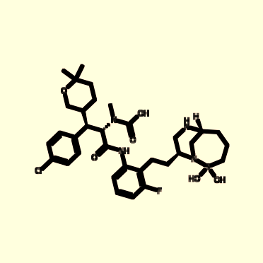 CN(C(=O)O)[C@H](C(=O)Nc1cccc(F)c1CC[C@H]1CN[C@@H]2CCCS(O)(O)N1C2)[C@@H](c1ccc(Cl)cc1)C1CCC(C)(C)OC1